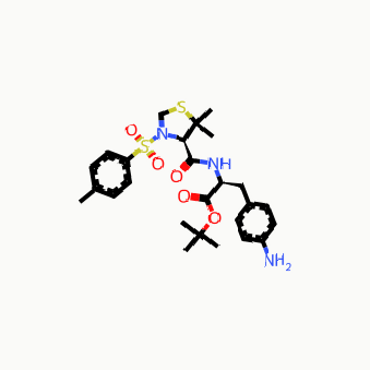 Cc1ccc(S(=O)(=O)N2CSC(C)(C)[C@H]2C(=O)N[C@@H](Cc2ccc(N)cc2)C(=O)OC(C)(C)C)cc1